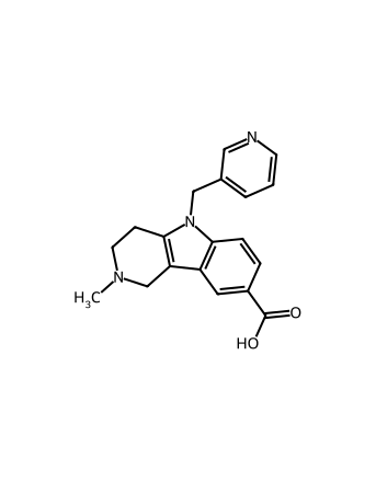 CN1CCc2c(c3cc(C(=O)O)ccc3n2Cc2cccnc2)C1